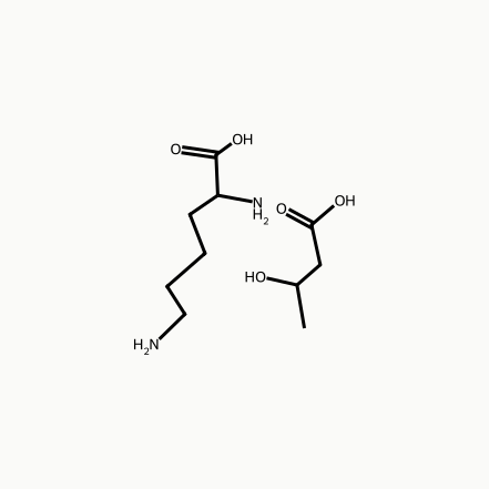 CC(O)CC(=O)O.NCCCCC(N)C(=O)O